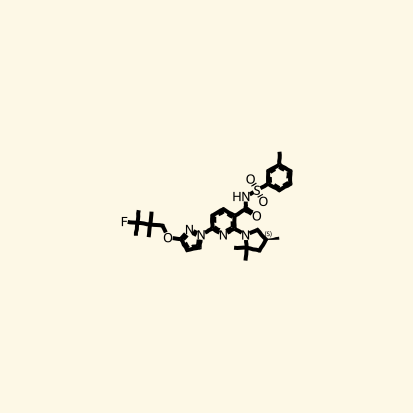 Cc1cccc(S(=O)(=O)NC(=O)c2ccc(-n3ccc(OCC(C)(C)C(C)(C)F)n3)nc2N2C[C@@H](C)CC2(C)C)c1